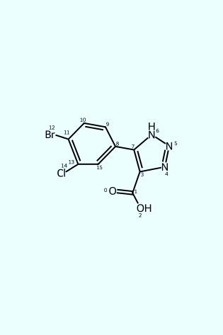 O=C(O)c1nn[nH]c1-c1ccc(Br)c(Cl)c1